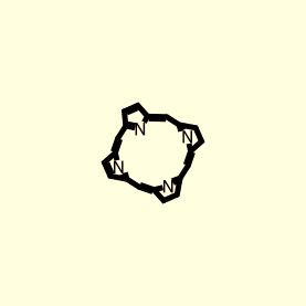 C1=CC2=NC1=CC1=NC(=CC3=NC(=CC4=NC(=C2)C=C4)CC3)CC1